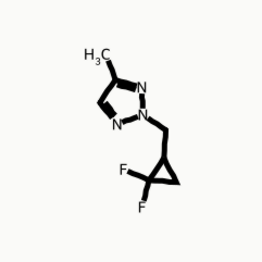 Cc1cnn(CC2CC2(F)F)n1